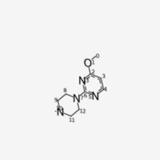 COc1ccnc(N2CC[N]CC2)n1